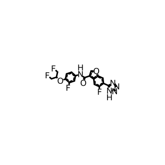 O=C(Nc1ccc(OC(CF)CF)c(F)c1)c1coc2cc(-c3nnn[nH]3)c(F)cc12